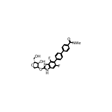 CNC(=O)c1ccc(-c2ccc(-c3c(F)cc4[nH]c(OC5CO[C@H](CO)[C@H]5O)nc4c3F)cc2)cc1